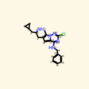 Cc1c(CC(N)CC2CC2)cc2c(NCc3ccccc3)nc(Cl)nn12